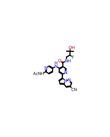 CC(=O)Nc1ccc(Nc2cc(-c3ccc4cc(C#N)cnn34)ncc2C(=O)NCC(F)C(C)(C)O)cn1